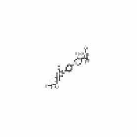 O=CNC(N1CCN(c2ccc(N3CC(CNC(=O)C(F)(F)F)OC3=O)cc2)CC1F)C(F)(F)F